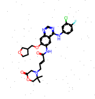 CC1(C)COC(=O)CN1CC=CC(=O)Nc1cc2c(Nc3ccc(F)c(Cl)c3)ncnc2cc1OCC1CCOC1